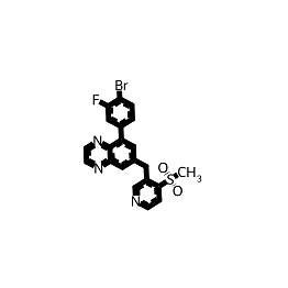 CS(=O)(=O)c1ccncc1Cc1cc(-c2ccc(Br)c(F)c2)c2nccnc2c1